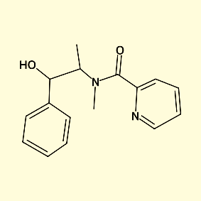 CC(C(O)c1ccccc1)N(C)C(=O)c1ccccn1